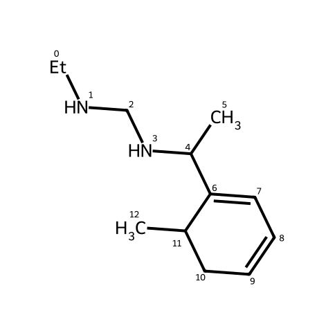 CCNCNC(C)C1=CC=CCC1C